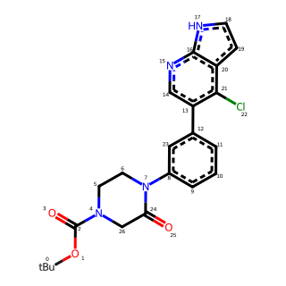 CC(C)(C)OC(=O)N1CCN(c2cccc(-c3cnc4[nH]ccc4c3Cl)c2)C(=O)C1